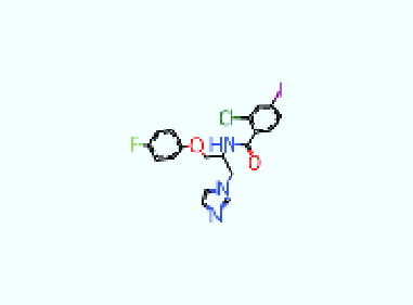 O=C(NC(COc1ccc(F)cc1)Cn1ccnc1)c1ccc(I)cc1Cl